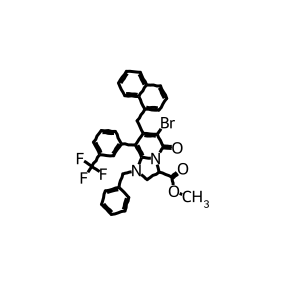 COC(=O)C1CN(Cc2ccccc2)c2c(-c3cccc(C(F)(F)F)c3)c(Cc3cccc4ccccc34)c(Br)c(=O)n21